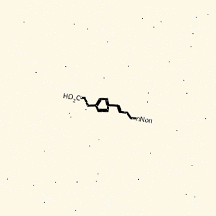 CCCCCCCCCCC/C=C/c1ccc(CCC(=O)O)cc1